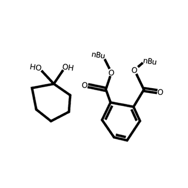 CCCCOC(=O)c1ccccc1C(=O)OCCCC.OC1(O)CCCCC1